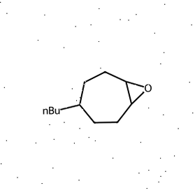 CCCCC1CCC2OC2CC1